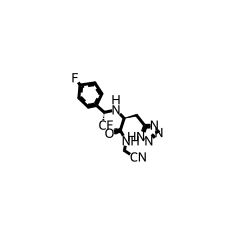 N#CCNC(=O)[C@H](Cc1nnn[nH]1)N[C@@H](c1ccc(F)cc1)C(F)(F)F